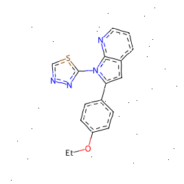 CCOc1ccc(-c2cc3cccnc3n2-c2nncs2)cc1